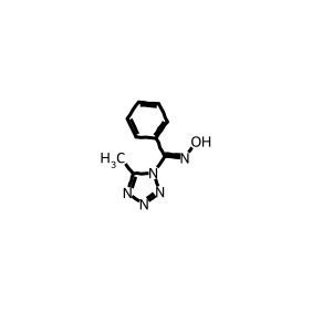 Cc1nnnn1/C(=N/O)c1ccccc1